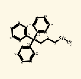 [Br][Sn][CH2]CCC(c1ccccc1)(c1ccccc1)c1ccccc1